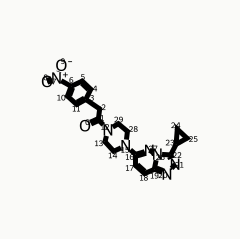 O=C(Cc1ccc([N+](=O)[O-])cc1)N1CCN(c2ccc3nnc(C4CC4)n3n2)CC1